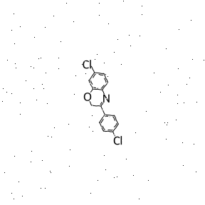 Clc1ccc(C2=Nc3ccc(Cl)cc3OC2)cc1